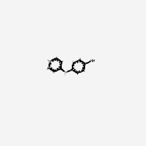 [NH]c1ccc(Oc2ccnnc2)cc1